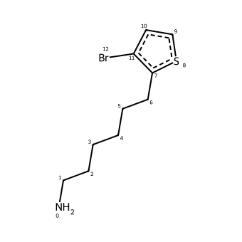 NCCCCCCc1sccc1Br